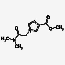 COC(=O)c1ccn(CC(=O)N(C)C)c1